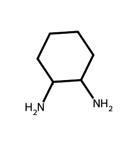 N[C]1CCCCC1N